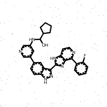 OC(Nc1cncc(-c2ccc3[nH]nc(-c4nc5c(-c6ccccc6F)nccc5[nH]4)c3c2)c1)C1CCCC1